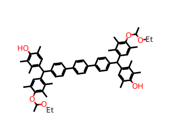 CCOC(C)Oc1c(C)cc(C(c2ccc(-c3ccc(-c4ccc(C(c5cc(C)c(O)c(C)c5C)c5cc(C)c(OC(C)OCC)c(C)c5C)cc4)cc3)cc2)c2cc(C)c(O)c(C)c2C)c(C)c1C